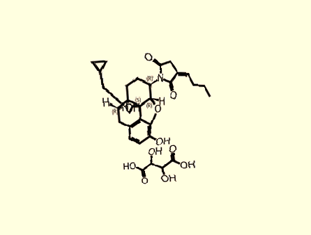 CCCC=C1CC(=O)N([C@@H]2CCC3(O)[C@H]4Cc5ccc(O)c6c5[C@@]3(CCN4CC3CC3)[C@H]2O6)C1=O.O=C(O)C(O)C(O)C(=O)O